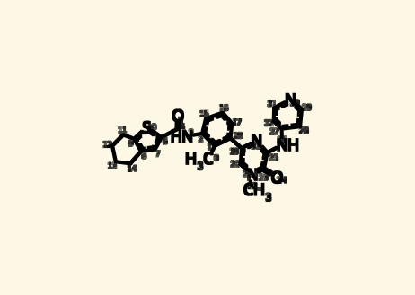 Cc1c(NC(=O)c2cc3c(s2)CCCC3)cccc1-c1cn(C)c(=O)c(Nc2ccncc2)n1